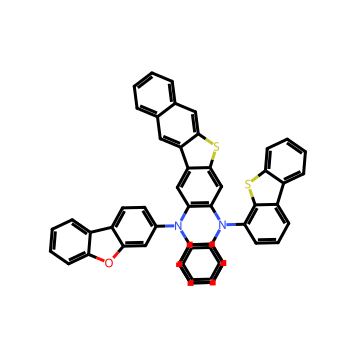 c1ccc(N(c2ccc3c(c2)oc2ccccc23)c2cc3c(cc2N(c2ccccc2)c2cccc4c2sc2ccccc24)sc2cc4ccccc4cc23)cc1